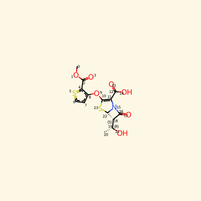 COC(=O)c1sccc1OC1=C(C(=O)O)N2C(=O)[C@H]([C@@H](C)O)C2S1